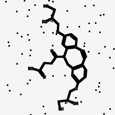 O=C(O)CCC(=O)N1Cc2cc(OC[C@@H](O)CO)ccc2C#Cc2ccc(OC[C@@H](O)CO)cc21